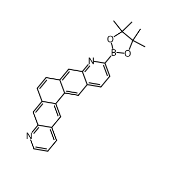 CC1(C)OB(c2ccc3cc4c(ccc5cc6ncccc6cc54)cc3n2)OC1(C)C